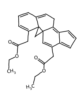 CCOC(=O)CC1=CC23CC24C(=CCC3=C2C=CC=C12)C=CC=C4CC(=O)OCC